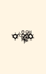 O=C(OCc1ccccc1)[C@@H]([C@H](O)c1ccccc1)S(=O)(=O)C(F)(F)F